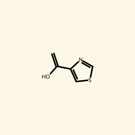 C=C(O)c1cscn1